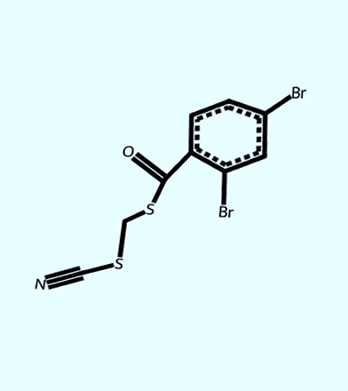 N#CSCSC(=O)c1ccc(Br)cc1Br